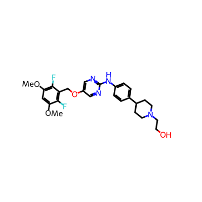 COc1cc(OC)c(F)c(COc2cnc(Nc3ccc(C4CCN(CCO)CC4)cc3)nc2)c1F